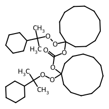 CC(C)(OOC1(OC(=O)OC2(OOC(C)(C)C3CCCCC3)CCCCCCCCCCC2)CCCCCCCCCCC1)C1CCCCC1